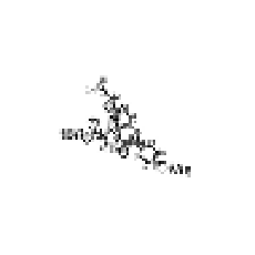 COc1ccc(N2Cc3cnc(OCC4CC4)nc3C3(CCN(C(=O)OC(C)(C)C)C3)C2=O)cc1